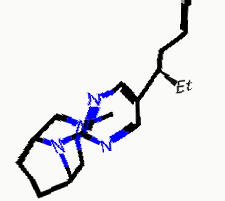 CC[C@H](C/C=C/C(C)=O)c1cnc(N2C3CCC2CN(C)C3)nc1